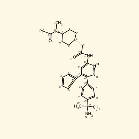 CC(C)C(=O)N(C)[C@H]1CC[C@H](CC(=O)Nc2cc(-c3ccccc3)c(-c3ccc(C(C)(C)N)cc3)nn2)CC1